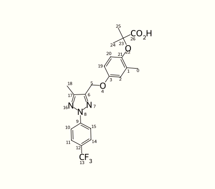 Cc1cc(OCc2nn(-c3ccc(C(F)(F)F)cc3)nc2C)ccc1OC(C)(C)C(=O)O